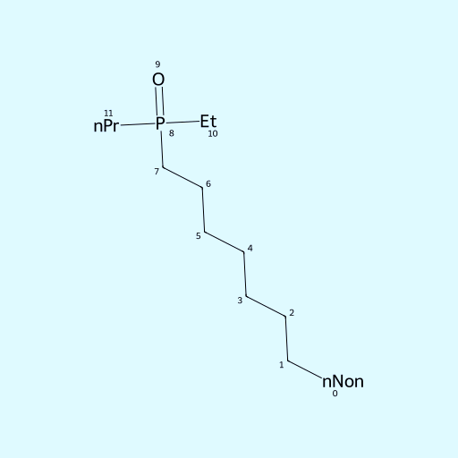 CCCCCCCCCCCCCCCCP(=O)(CC)CCC